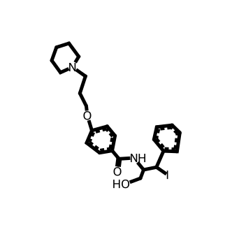 O=C(NC(CO)C(I)c1ccccc1)c1ccc(OCCCN2CCCCC2)cc1